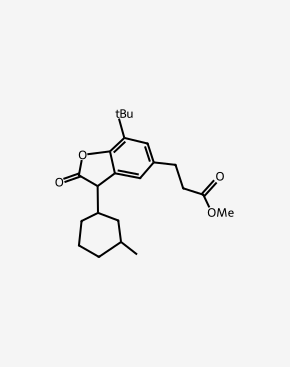 COC(=O)CCc1cc2c(c(C(C)(C)C)c1)OC(=O)C2C1CCCC(C)C1